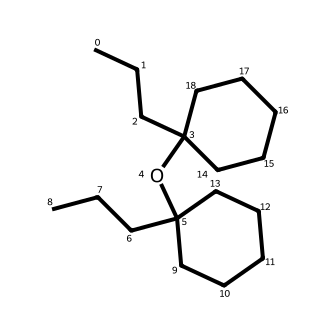 CCCC1(OC2(CCC)CCCCC2)CCCCC1